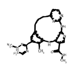 C/C=N\C(=N/NC)c1cc2cc(c1C)Nc1cc(ncc1C(=O)NC)Nc1nccc(n1)CCC2